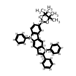 CC1(C)OB(c2ccc3c(c2)c2cc4c(cc(-c5ccccc5)n4-c4ccccc4)cc2n3-c2ccccc2)OC1(C)C